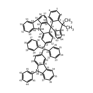 CC1(C)c2ccccc2C2(c3ccc([Si](c4ccccc4)(c4ccccc4)c4ccc5c(c4)c4ccccc4n5-c4ccccc4)cc3-n3c4ccccc4c4cccc2c43)c2ccccc21